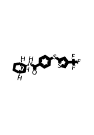 O=C(N[C@@H]1C[C@H]2CC[C@@H]1N2)c1ccc(Sc2cc(C(F)(F)F)cs2)cc1